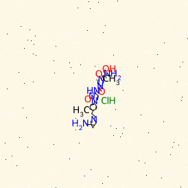 Cc1cc(-n2ccc(NC(=O)N3CCN(C(=O)[C@@](C)(N)CO)CC3)nc2=O)ccc1CCN1CC2CC2(CN)C1.Cl